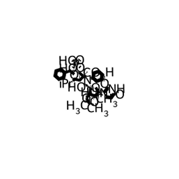 CC(C)CC[C@@](C(=O)O)(C(OCc1ccccc1)OP(=O)(O)O)N(c1ccccc1)C(O)[C@H]1O[C@@H](n2ccc(=O)[nH]c2=O)[C@]2(C)OC(C)(C)O[C@H]12